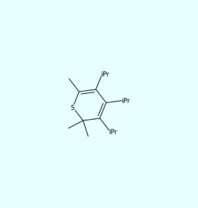 CC1=C(C(C)C)C(C(C)C)=C(C(C)C)C(C)(C)S1